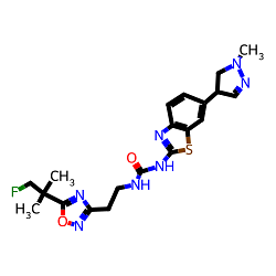 CN1CC(c2ccc3nc(NC(=O)NCCc4noc(C(C)(C)CF)n4)sc3c2)C=N1